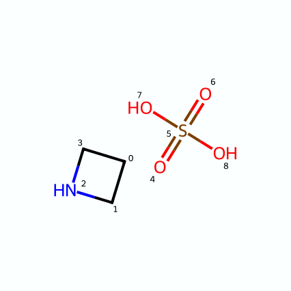 C1CNC1.O=S(=O)(O)O